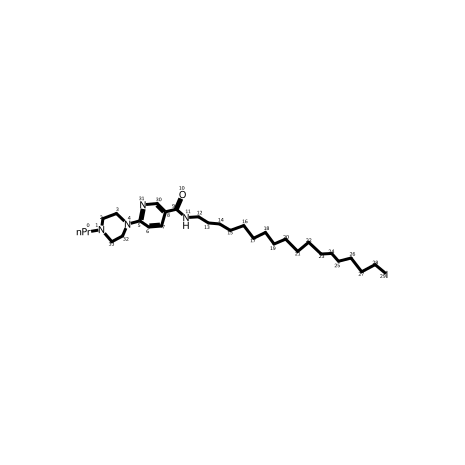 CCCN1CCN(c2ccc(C(=O)NCCCCCCCCCCCCCCCCCI)cn2)CC1